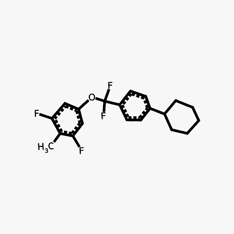 Cc1c(F)cc(OC(F)(F)c2ccc(C3CCCCC3)cc2)cc1F